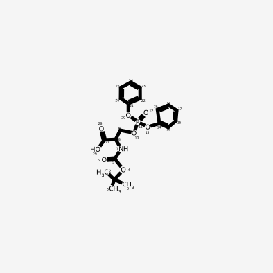 CC(C)(C)OC(=O)NC(COP(=O)(Oc1ccccc1)Oc1ccccc1)C(=O)O